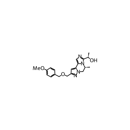 COc1ccc(COCc2cc3n(n2)C[C@H](C)n2c-3cnc2[C@@H](C)O)cc1